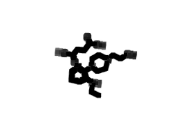 CCNc1cccnc1N1CCN(CCO)CC1.O=C(O)/C=C/C(=O)O